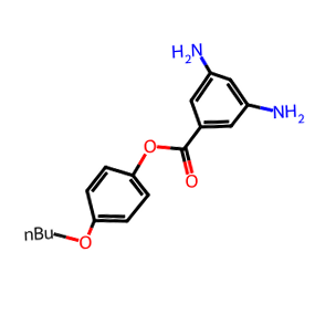 CCCCOc1ccc(OC(=O)c2cc(N)cc(N)c2)cc1